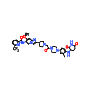 Cc1cc(N2CCN(C(=O)CN3CCC(c4cn5cc(NC(=O)c6cccc(C(F)(F)F)n6)c(OC(C)C)cc5n4)CC3)CC2)ccc1NC1CCC(=O)NC1=O